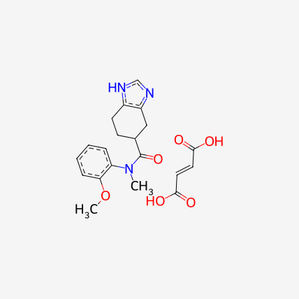 COc1ccccc1N(C)C(=O)C1CCc2[nH]cnc2C1.O=C(O)/C=C/C(=O)O